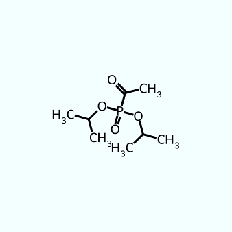 CC(=O)P(=O)(OC(C)C)OC(C)C